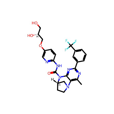 Cc1nc(-c2cccc(C(F)(F)F)c2)nc2c1N1CC[C@@H](C1)N2C(=O)Nc1ccc(OC[C@H](O)CO)cn1